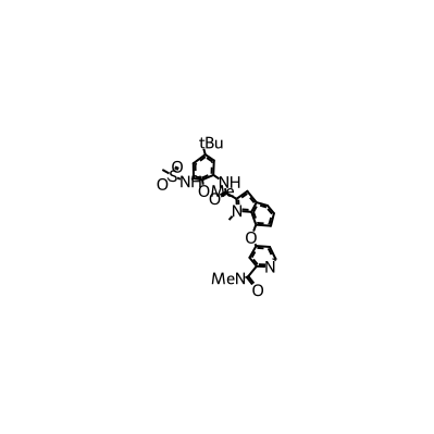 CNC(=O)c1cc(Oc2cccc3cc(C(=O)Nc4cc(C(C)(C)C)cc(NS(C)(=O)=O)c4OC)n(C)c23)ccn1